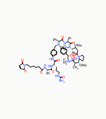 CC[C@H](C)[C@@H]([C@@H](CC(=O)N1CCC[C@@]1(N)[C@H](OC)[C@@H](C)C(=O)N[C@H](C)[C@@H](O)c1ccccc1)OC)N(C)C(=O)[C@@H](NC(=O)[C@H](C(C)C)N(C)Cc1ccc(NC(=O)[C@H](CCCNC(N)=O)NC(=O)[C@@H](NC(=O)CCCCCN2C(=O)C=CC2=O)C(C)C)cc1)C(C)C